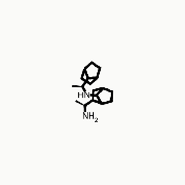 C[C@H](N)C1CC2CCC1C2N[C@@H](C)C1C2CCC1CC2